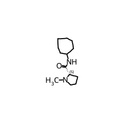 CN1CCC[C@H]1C(=O)NC1CCCCCC1